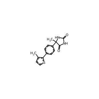 Cc1ccsc1-c1ccc(C2(C)NC(=O)NC2=O)cc1